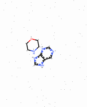 C1COCCN1.c1ncc2[nH]cnc2n1